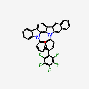 Fc1c(F)c(F)c(-c2ccc(-n3c4cc5ccccc5cc4c4ccc5c6ccccc6n(-c6ccccc6)c5c43)cc2)c(F)c1F